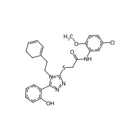 COc1ccc(Cl)cc1NC(=O)CSc1nnc(-c2ccccc2O)n1CCC1=CC=CCC1